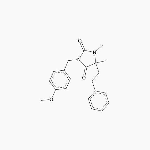 COc1ccc(CN2C(=O)N(C)C(C)(CCc3ccccc3)C2=O)cc1